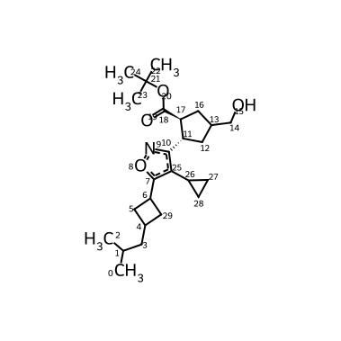 CC(C)CC1CC(c2onc([C@H]3CC(CO)C[C@@H]3C(=O)OC(C)(C)C)c2C2CC2)C1